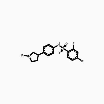 CCCN1CCC(c2ccc(NS(=O)(=O)c3ccc(Br)cc3F)cc2)C1